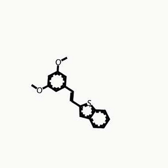 COc1cc(/C=C/c2cc3ccccc3s2)cc(OC)c1